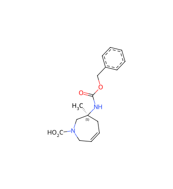 C[C@]1(NC(=O)OCc2ccccc2)CC=CCN(C(=O)O)C1